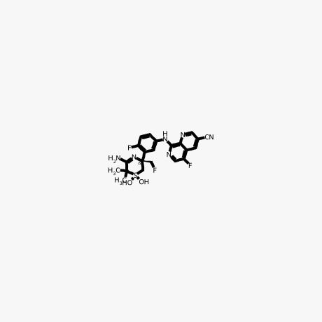 CC1(C)C(N)=N[C@](CF)(c2cc(Nc3ncc(F)c4cc(C#N)cnc34)ccc2F)CS1(O)O